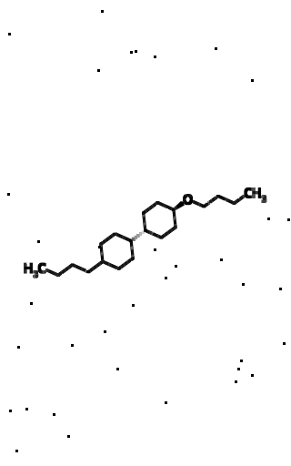 CCCCO[C@H]1CC[C@H](C2CCC(CCCC)CC2)CC1